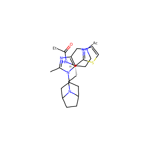 CCC(=O)N[C@@H](CCN1C2CCC1CC(n1c(C)nc3c1CCN(C(C)=O)C3)C2)c1nccs1